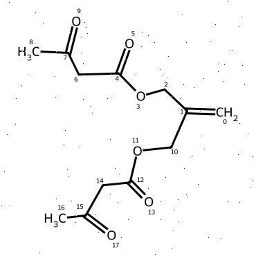 C=C(COC(=O)CC(C)=O)COC(=O)CC(C)=O